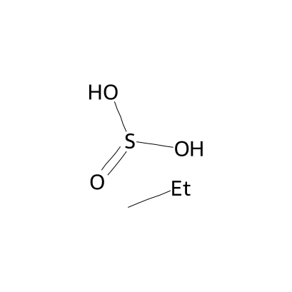 CCC.O=S(O)O